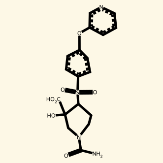 NC(=O)N1CCC(S(=O)(=O)c2ccc(Oc3cccnc3)cc2)C(O)(C(=O)O)C1